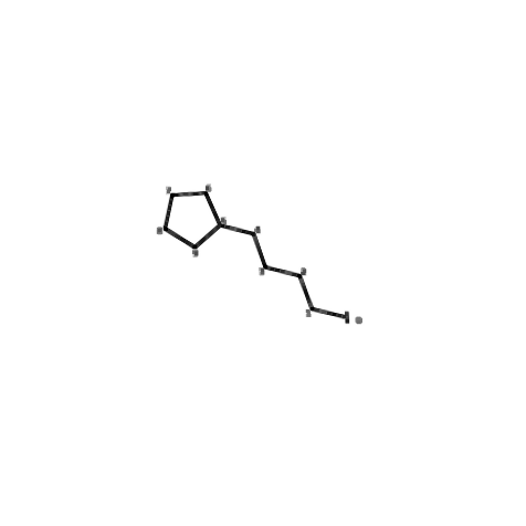 ICCCCC1CCCC1